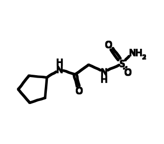 NS(=O)(=O)NCC(=O)NC1CCCC1